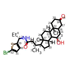 CC[C@H](NC(=O)C[C@@H](C)C1CC[C@H]2C3C(O)CC4CC(=O)CCC4(C)[C@H]3CCC12C)c1ccc(Br)s1